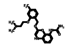 CN(C)CCOc1cc(C(F)(F)F)ccc1COC1=CNc2cccc(NC(N)=O)c2O1